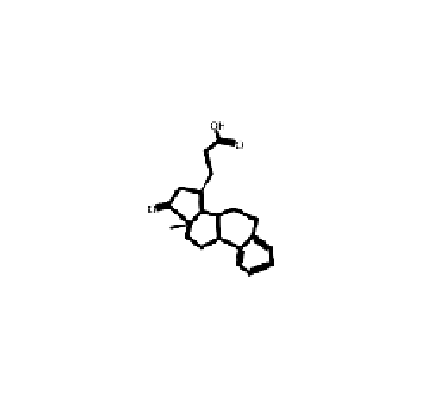 C[C@]12CCC3c4ccccc4CCC3C1[C@H](CCC(=O)O)CC2=O